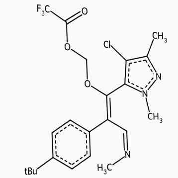 C/N=C\C(=C(\OCOC(=O)C(F)(F)F)c1c(Cl)c(C)nn1C)c1ccc(C(C)(C)C)cc1